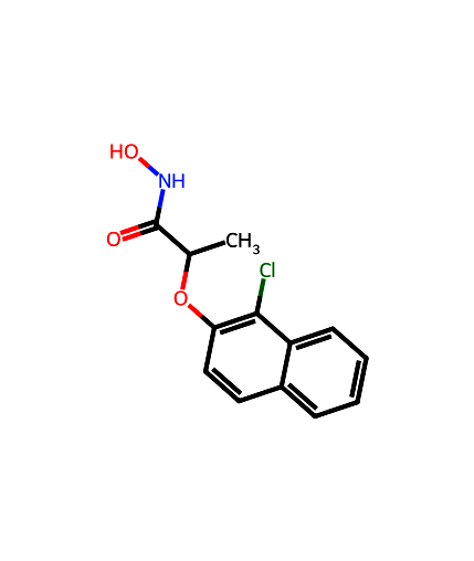 CC(Oc1ccc2ccccc2c1Cl)C(=O)NO